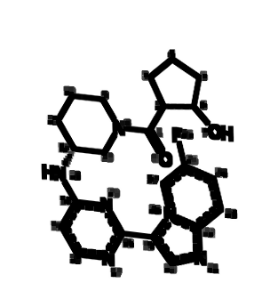 O=C(C1CCCC1O)N1CCC[C@@H](Nc2ccnc(-c3cnc4ccc(F)cn34)n2)C1